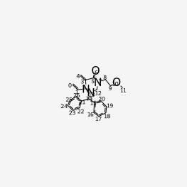 C=CN1C(=C)C(=O)N(CCOC)CN1C(c1ccccc1)c1ccccc1